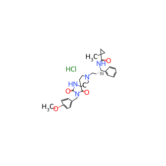 COc1ccc(CN2C(=O)NC3(CCN(CC[C@H](NC(=O)C4(C)CC4)c4ccccc4)CC3)C2=O)cc1.Cl